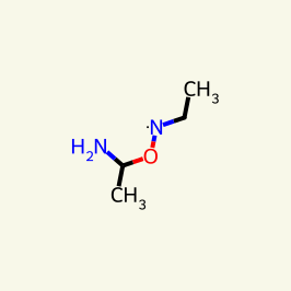 CC[N]OC(C)N